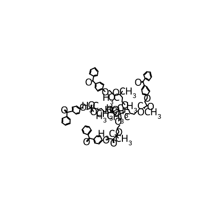 CC(CCOC(C)(C)C(=O)COc1ccc(C(=O)c2ccccc2)cc1)CC(C)(CC(CO)(COCCOC(C)(C)C(=O)COc1ccc(C(=O)c2ccccc2)cc1)CC(C)(C)OCCC(C)(C)OC(=O)COc1ccc(C(=O)c2ccccc2)cc1)OCCC(C)(C)OC(=O)COc1ccc(C(=O)c2ccccc2)cc1